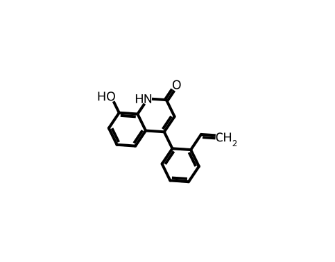 C=Cc1ccccc1-c1cc(=O)[nH]c2c(O)cccc12